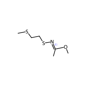 CO/C(C)=N/SCCSC